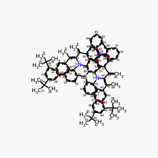 C=C(/C(=C(\C)c1ccccc1)N1c2cc(-c3cc(C(C)(C)C)cc(C(C)(C)C)c3)ccc2B2c3ccc(-c4cc(C(C)(C)C)cc(C(C)(C)C)c4)cc3N(/C(C(=C)c3ccccc3)=C(/C)c3ccccc3)c3cc(-n4c5ccccc5c5ccccc54)cc1c32)c1ccccc1